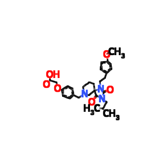 COc1ccc(CCN2C(=O)N(CC(C)C)C(=O)C23CCCN(Cc2ccc(OCC(=O)O)cc2)C3)cc1